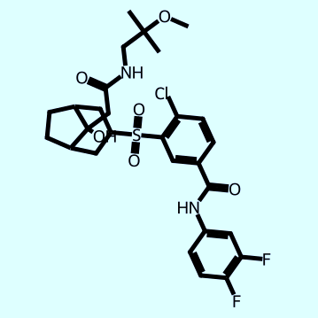 COC(C)(C)CNC(=O)CC1(O)C2CCC1CC(S(=O)(=O)c1cc(C(=O)Nc3ccc(F)c(F)c3)ccc1Cl)C2